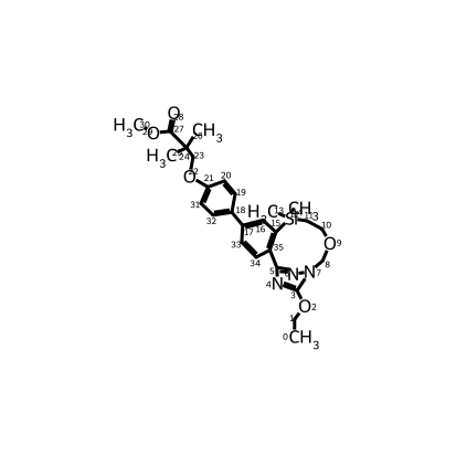 CCOc1nc2nn1COCC[Si](C)(C)c1cc(-c3ccc(OCC(C)(C)C(=O)OC)cc3)ccc1-2